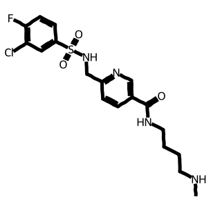 CNCCCCNC(=O)c1ccc(CNS(=O)(=O)c2ccc(F)c(Cl)c2)nc1